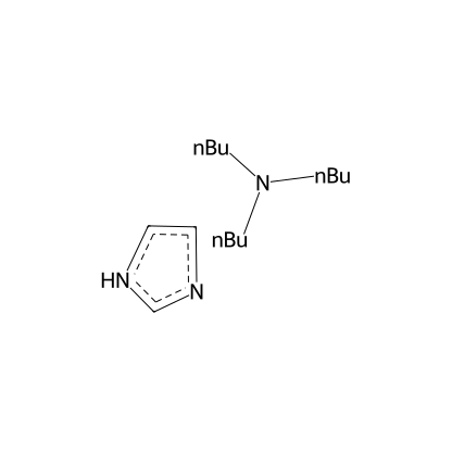 CCCCN(CCCC)CCCC.c1c[nH]cn1